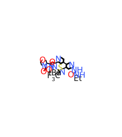 CCNC(=O)Nc1cc(-c2nc(C(F)(F)F)cs2)c(-c2ccnc(-c3nnc(C4COCCN4C(=O)OC(C)(C)C)o3)c2)cn1